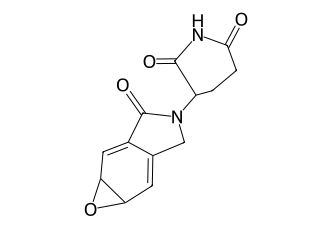 O=C1CCC(N2CC3=CC4OC4C=C3C2=O)C(=O)N1